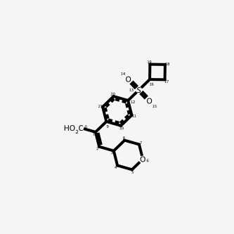 O=C(O)/C(=C/C1CCOCC1)c1ccc(S(=O)(=O)C2CCC2)cc1